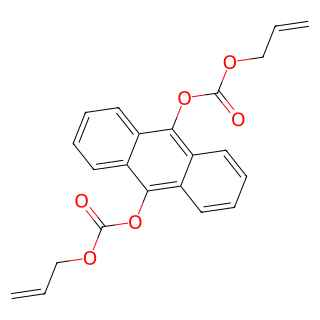 C=CCOC(=O)Oc1c2ccccc2c(OC(=O)OCC=C)c2ccccc12